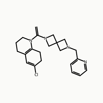 C=C(N1CC2(CN(Cc3ccccn3)C2)C1)N1CCCC2=C1CCC(Cl)=C2